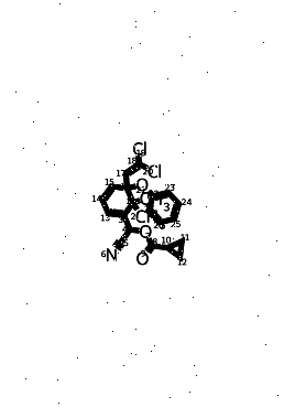 CC1(C)C(C(C#N)OC(=O)C2CC2)=CC=CC1(C=C(Cl)Cl)Oc1ccccc1